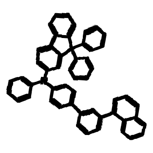 c1ccc(N(c2ccc(-c3cccc(-c4cccc5ccccc45)c3)cc2)c2ccc3c(c2)C(c2ccccc2)(c2ccccc2)c2ccccc2-3)cc1